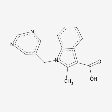 Cc1c(C(=O)O)c2ccccc2n1Cc1cncnc1